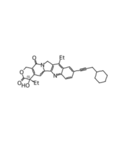 CCc1c2c(nc3ccc(C#CCC4CCCCC4)cc13)-c1cc3c(c(=O)n1C2)COC(=O)[C@]3(O)CC